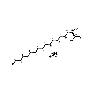 CCCCCCCCCCCCCCCCC(C)=C(C)C.Cl.N